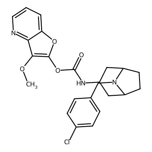 COc1c(OC(=O)NC2CC3CCC(C2)N3Cc2ccc(Cl)cc2)oc2cccnc12